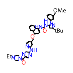 CCN1CCN(C(=O)c2cnc(Nc3cc(COc4ccc(NC(=O)Nc5cc(C(C)(C)C)nn5-c5cccc(COC)c5)c5ccccc45)ccn3)cn2)CC1